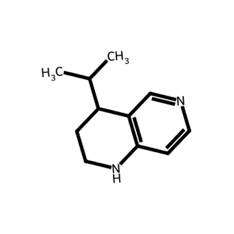 CC(C)C1CCNc2ccncc21